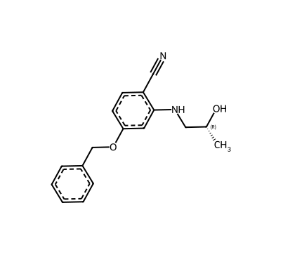 C[C@@H](O)CNc1cc(OCc2ccccc2)ccc1C#N